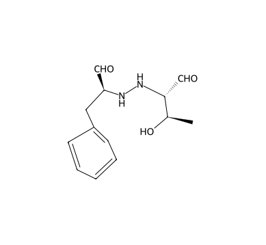 C[C@@H](O)[C@@H](C=O)NN[C@H](C=O)Cc1ccccc1